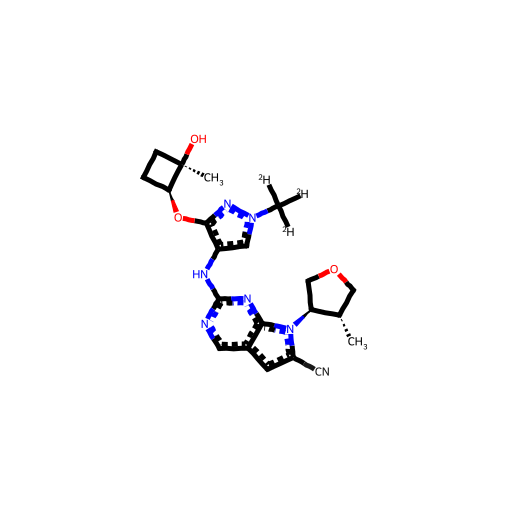 [2H]C([2H])([2H])n1cc(Nc2ncc3cc(C#N)n([C@H]4COC[C@@H]4C)c3n2)c(O[C@H]2CC[C@@]2(C)O)n1